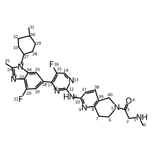 CNCC(=O)N1CCc2nc(Nc3ncc(F)c(-c4cc(F)c5nc(C)n(C6CCC(C)CC6)c5c4)n3)ccc2C1